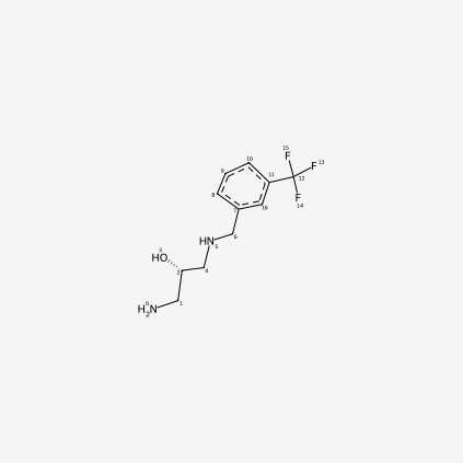 NC[C@H](O)CNCc1cccc(C(F)(F)F)c1